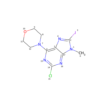 Cn1c(I)nc2c(N3CCOCC3)nc(Cl)nc21